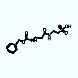 O=C(CCNC(=O)OCc1ccccc1)NCCS(=O)(=O)O